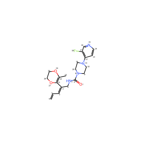 C=C/C=C(/CNC(=O)N1CCN(c2ccncc2F)CC1)C1=C(C)OCCO1